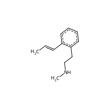 C/C=C/c1ccccc1CCNC